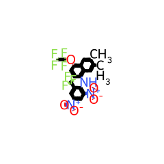 Cc1cc2c(Nc3c([N+](=O)[O-])cc([N+](=O)[O-])cc3C(F)(F)F)ccc(OC(F)(F)C(F)F)c2cc1C